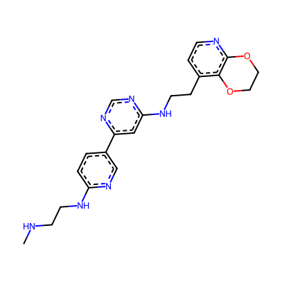 CNCCNc1ccc(-c2cc(NCCc3ccnc4c3OCCO4)ncn2)cn1